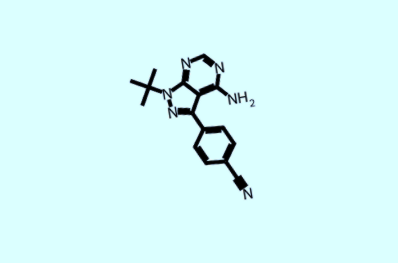 CC(C)(C)n1nc(-c2ccc(C#N)cc2)c2c(N)ncnc21